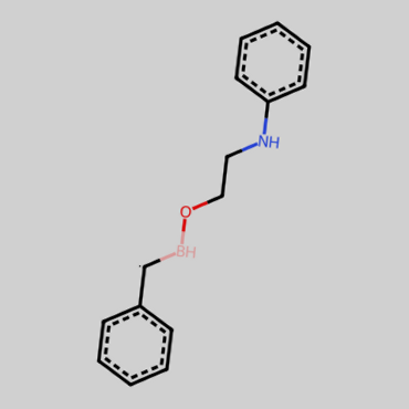 B([CH]c1ccccc1)OCCNc1ccccc1